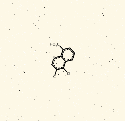 O=C(O)c1cccc2c(Cl)c(Cl)cnc12